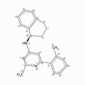 Cc1nc(N[C@@H]2CCCc3ccccc32)cc(-c2ccccc2C)n1